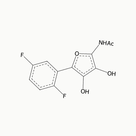 CC(=O)Nc1oc(-c2cc(F)ccc2F)c(O)c1O